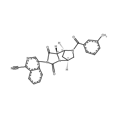 Cc1cccc(C(=O)N2C[C@@H]3C[C@H]2[C@H]2C(=O)N(c4cnc(C#N)c5ccccc45)C(=O)N32)c1